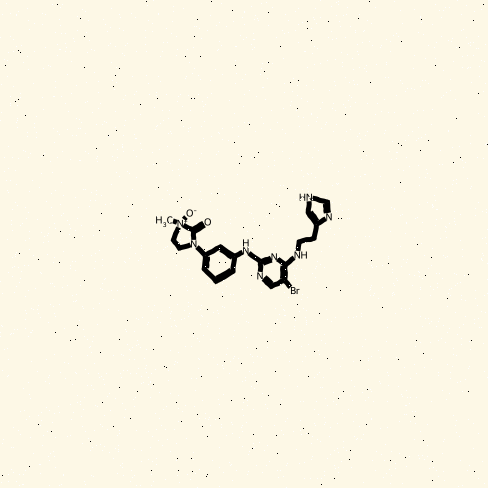 C[N+]1([O-])CCN(c2cccc(Nc3ncc(Br)c(NCCc4c[nH]cn4)n3)c2)C1=O